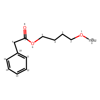 CCCCOCCCCOC(=O)Cc1ccccc1